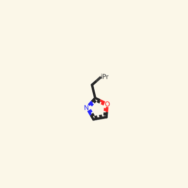 CC(C)Cc1ncco1